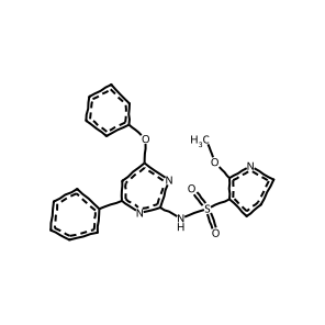 COc1ncccc1S(=O)(=O)Nc1nc(Oc2ccccc2)cc(-c2ccccc2)n1